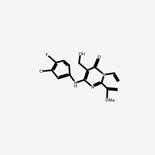 C=Cn1c(C(=C)OC)nc(Nc2ccc(F)c(Cl)c2)c(CO)c1=O